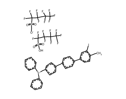 Cc1ccc(-c2ccc(-c3ccc([S+](c4ccccc4)c4ccccc4)cc3)cc2)cc1I.O=S(=O)(O)C(F)(F)C(F)(F)C(F)(F)C(F)(F)F.O=S(=O)([O-])C(F)(F)C(F)(F)C(F)(F)C(F)(F)F